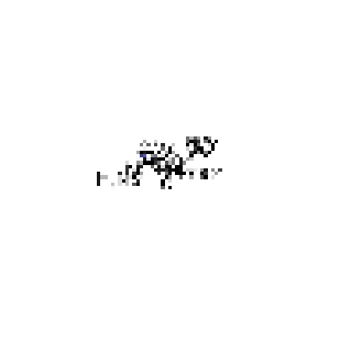 CO/N=C(\C(=O)N[C@@H]1C(=O)N2C(C(=O)[O-])=C(CC3=C4C=CC(C)=C[N+]4(C)N=C3)CS[C@H]12)c1csc(N)n1